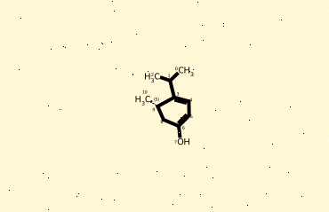 CC(C)C1=CC=C(O)C[C@@H]1C